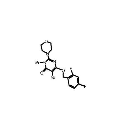 CC(C)n1c(N2CCOCC2)nc(OCc2ccc(F)cc2F)c(Br)c1=O